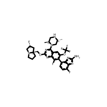 C[C@@H]1CN(c2nc(OC[C@@]34CCCN3C[C@H](F)C4)nc3c(F)c(-c4ccc(F)c5sc(N)nc45)c(OC(F)(F)F)cc23)[C@@H](C)CN1